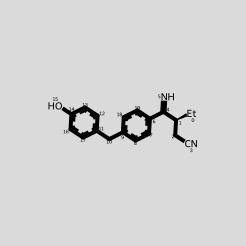 CC[C@@H](CC#N)C(=N)c1ccc(Cc2ccc(O)cc2)cc1